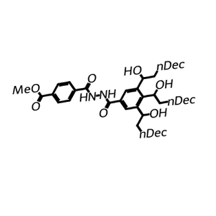 CCCCCCCCCCCC(O)c1cc(C(=O)NNC(=O)c2ccc(C(=O)OC)cc2)cc(C(O)CCCCCCCCCCC)c1C(O)CCCCCCCCCCC